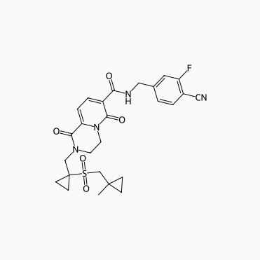 CC1(CS(=O)(=O)C2(CN3CCn4c(ccc(C(=O)NCc5ccc(C#N)c(F)c5)c4=O)C3=O)CC2)CC1